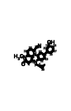 Cn1c(=O)cc(N(CC2CC2)c2ccc(-c3cccc(O)c3)cc2)c2nc(C#N)ccc21